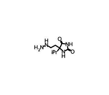 CC(C)C1(CCNN)NC(=O)NC1=O